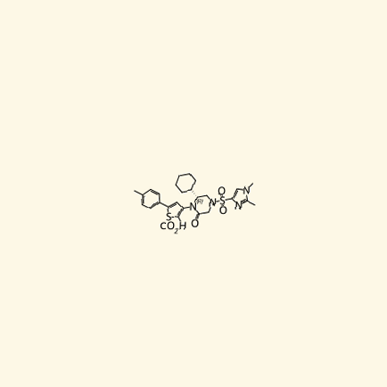 Cc1ccc(-c2cc(N3C(=O)CN(S(=O)(=O)c4cn(C)c(C)n4)C[C@H]3C3CCCCC3)c(C(=O)O)s2)cc1